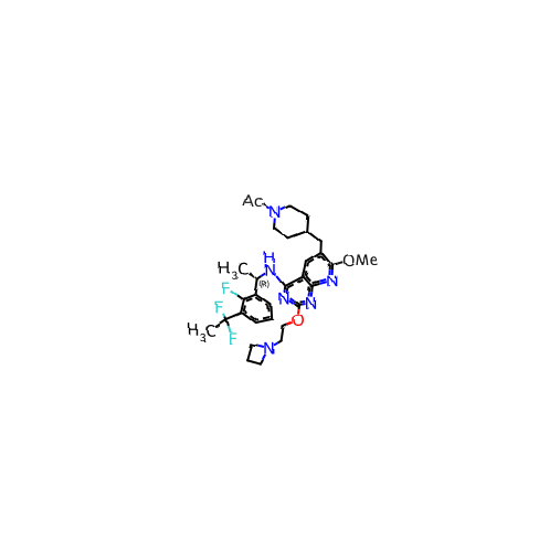 COc1nc2nc(OCCN3CCC3)nc(N[C@H](C)c3cccc(C(C)(F)F)c3F)c2cc1CC1CCN(C(C)=O)CC1